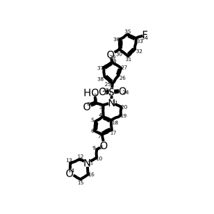 O=C(O)C1c2ccc(OCCN3CCOCC3)cc2CCN1S(=O)(=O)c1ccc(Oc2ccc(F)cc2)cc1